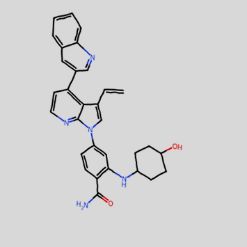 C=Cc1cn(-c2ccc(C(N)=O)c(NC3CCC(O)CC3)c2)c2nccc(-c3cnc4ccccc4c3)c12